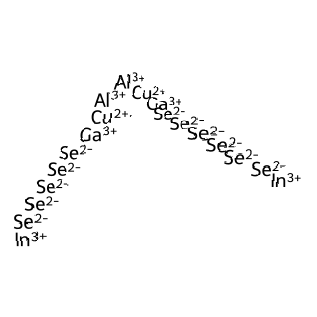 [Al+3].[Al+3].[Cu+2].[Cu+2].[Ga+3].[Ga+3].[In+3].[In+3].[Se-2].[Se-2].[Se-2].[Se-2].[Se-2].[Se-2].[Se-2].[Se-2].[Se-2].[Se-2].[Se-2]